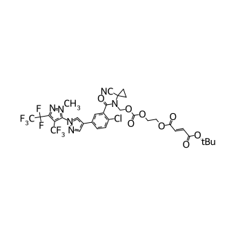 Cn1nc(C(F)(F)C(F)(F)F)c(C(F)(F)F)c1-n1cc(-c2ccc(Cl)c(C(=O)N(COC(=O)OCCOC(=O)/C=C/C(=O)OC(C)(C)C)C3(C#N)CC3)c2)cn1